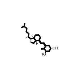 C=C1/C(=C\C=C2/CCC[C@]3(C)[C@@H]([C@H](C)CCCC(C)C)CC[C@@H]23)C[C@H](O)C[C@H]1O